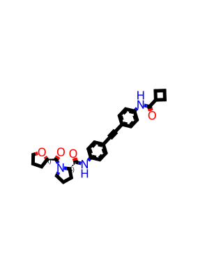 O=C(Nc1ccc(C#Cc2ccc(NC(=O)[C@@H]3CCCN3C(=O)[C@H]3CCCO3)cc2)cc1)C1CCC1